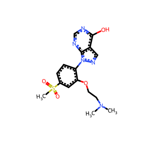 CN(C)CCOc1cc(S(C)(=O)=O)ccc1-n1ncc2c(O)ncnc21